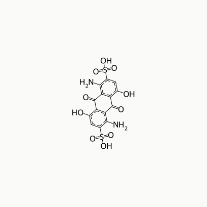 Nc1c(S(=O)(=O)O)cc(O)c2c1C(=O)c1c(O)cc(S(=O)(=O)O)c(N)c1C2=O